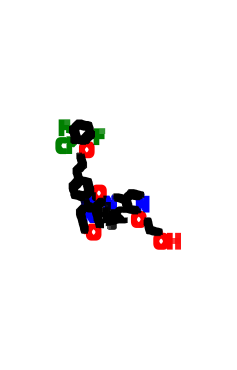 Cc1c(CN(C(=O)C2=C(c3ccc(CCCOc4c(F)ccc(F)c4Cl)cc3)CC3COC[C@H]2N3)C2CC2)ccnc1OCCCO